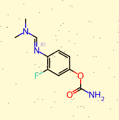 CN(C)/C=N/c1ccc(OC(N)=O)cc1F